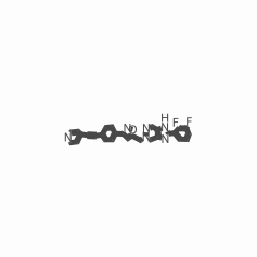 Fc1cccc(-c2nc3c([nH]2)C=NN(Cc2cc(-c4ccc(C#Cc5ccncc5)cc4)no2)C3)c1F